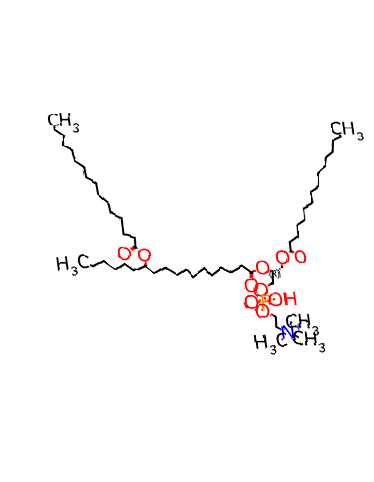 CCCCCCCCCCCCCCCC(=O)OC[C@H](COP(=O)(O)OCC[N+](C)(C)C)OC(=O)CCCCCCCCCCC(CCCCCC)OC(=O)CCCCCCCCCCCCCCC